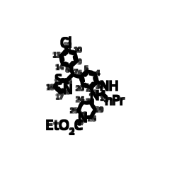 CCCC1Nc2ccc(C(c3ccc(Cl)cc3)c3nccs3)cc2N1C1CCN(C(=O)OCC)CC1